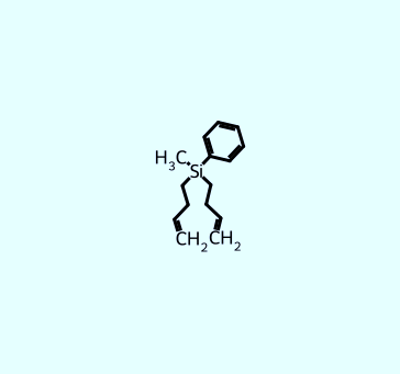 C=CCC[Si](C)(CCC=C)c1ccccc1